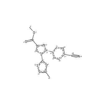 COC(=O)c1cc(-c2cc(C)cs2)n(-c2ccc(C#N)cc2)n1